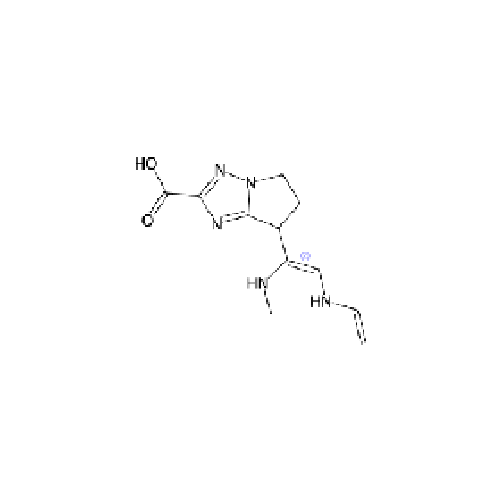 C=CN/C=C(\NC)C1CCn2nc(C(=O)O)nc21